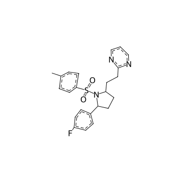 Cc1ccc(S(=O)(=O)N2C(CCc3ncccn3)CCC2c2ccc(F)cc2)cc1